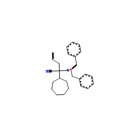 C=CCC(C#N)(C#N)C1CCCCC[C@H]1C(/C=C/c1ccccc1)c1ccccc1